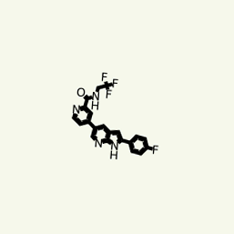 O=C(NCC(F)(F)F)c1cc(-c2cnc3[nH]c(-c4ccc(F)cc4)cc3c2)ccn1